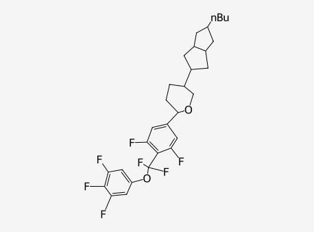 CCCCC1CC2CC(C3CCC(c4cc(F)c(C(F)(F)Oc5cc(F)c(F)c(F)c5)c(F)c4)OC3)CC2C1